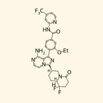 CCOc1cc(C(=O)Nc2cc(C(F)(F)F)ccn2)ccc1-c1nc([C@@H]2CC[C@H]3N(C2)C(=O)CCC3(F)F)n2ccnc(N)c12